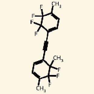 CC1=CC=C(C#CC2=CC=C(C)C(F)(F)C2(F)F)C(C)(F)C1(F)F